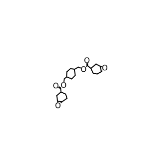 O=C(OCC1CCC(COC(=O)C2CCC3OC3C2)CC1)C1CCC2OC2C1